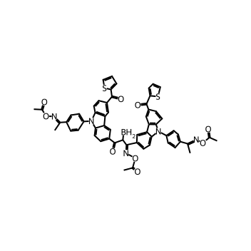 BC(C(=O)c1ccc2c(c1)c1cc(C(=O)c3cccs3)ccc1n2-c1ccc(C(C)=NOC(C)=O)cc1)C(=NOC(C)=O)c1ccc2c(c1)c1cc(C(=O)c3cccs3)ccc1n2-c1ccc(C(C)=NOC(C)=O)cc1